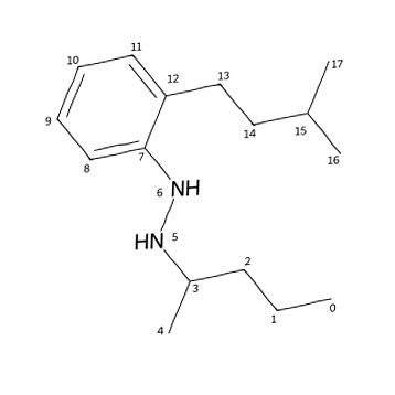 CCCC(C)NNc1ccccc1CCC(C)C